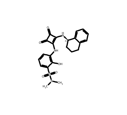 CN(C)S(=O)(=O)c1cccc(Nc2c(N[C@@H]3CCCc4ccccc43)c(=O)c2=O)c1O